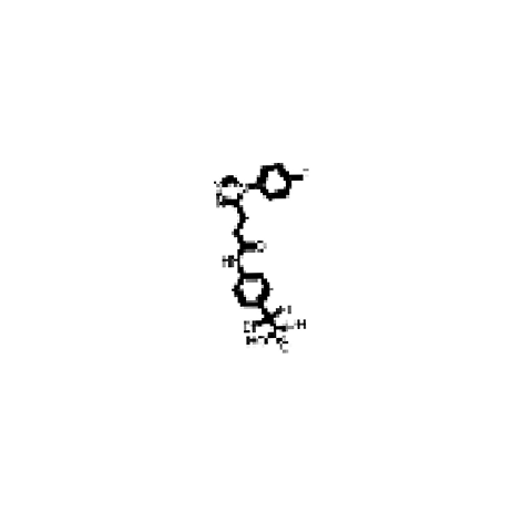 CCC(CC)(c1ccc(NC(=O)CCc2nncn2-c2ccc(F)cc2)cc1)P(=O)(O)O